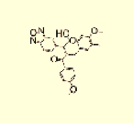 COc1ccc(C(=O)C(Cc2ccc(OC)c(C)c2)=C(C(=O)O)c2ccc3nonc3c2)cc1